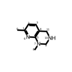 Cc1ccc2c(n1)N(C)CNC2